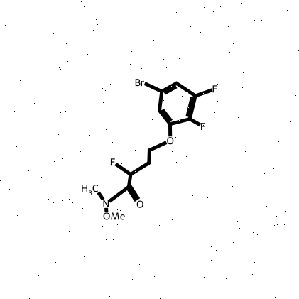 CON(C)C(=O)C(F)CCOc1cc(Br)cc(F)c1F